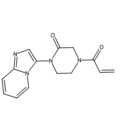 C=CC(=O)N1CCN(c2cnc3ccccn23)C(=O)C1